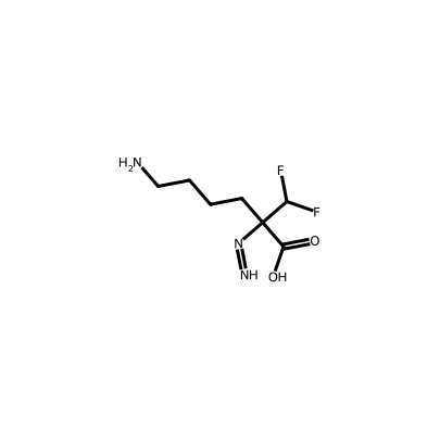 N=NC(CCCCN)(C(=O)O)C(F)F